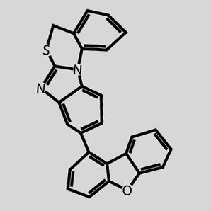 c1ccc2c(c1)CSc1nc3cc(-c4cccc5oc6ccccc6c45)ccc3n1-2